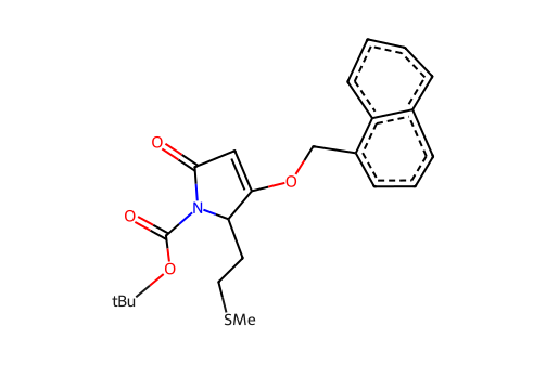 CSCCC1C(OCc2cccc3ccccc23)=CC(=O)N1C(=O)OC(C)(C)C